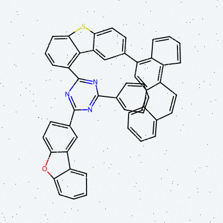 c1ccc(-c2nc(-c3ccc4oc5ccccc5c4c3)nc(-c3cccc4sc5ccc(-c6cc7c8ccccc8ccc7c7ccccc67)cc5c34)n2)cc1